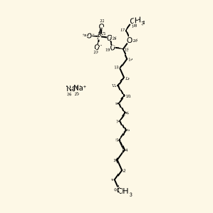 CCCCCCCCCCCCCCCC(OCC)OOP(=O)([O-])[O-].[Na+].[Na+]